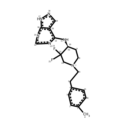 Cc1ccc(CCN2CC[C@H](Nc3ncnc4[nH]ncc34)C(F)(F)C2)cc1